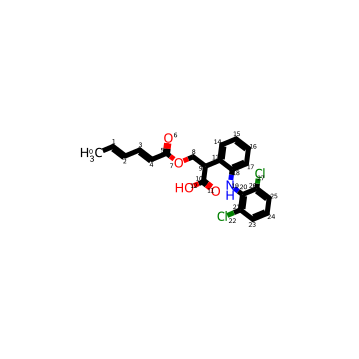 CC=CC=CC(=O)OCC(C(=O)O)c1ccccc1Nc1c(Cl)cccc1Cl